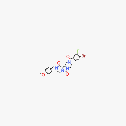 COc1ccc(CN2CCn3c(c4n(c3=O)CCN(C(=O)c3ccc(Br)c(F)c3)C4)C2=O)cc1